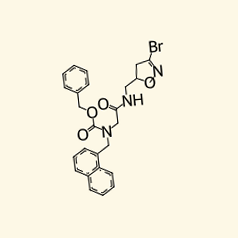 O=C(CN(Cc1cccc2ccccc12)C(=O)OCc1ccccc1)NCC1CC(Br)=NO1